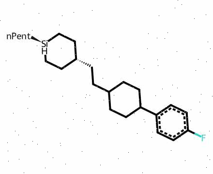 CCCCC[Si@H]1CC[C@H](CCC2CCC(c3ccc(F)cc3)CC2)CC1